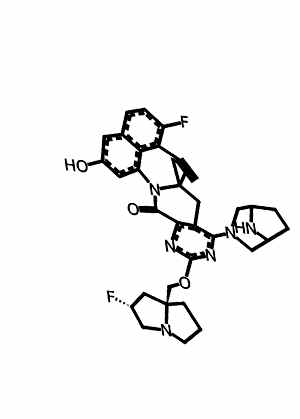 C#Cc1c(F)ccc2cc(O)cc(N3C(=O)c4nc(OC[C@@]56CCCN5C[C@H](F)C6)nc(N5CC6CCC(C5)N6)c4CC34CC4)c12